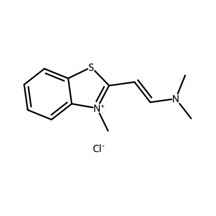 CN(C)/C=C/c1sc2ccccc2[n+]1C.[Cl-]